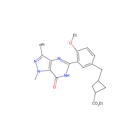 CCCc1nn(C)c2c(=O)[nH]c(-c3cc(CC4CC(C(=O)OCC)C4)ccc3OCC)nc12